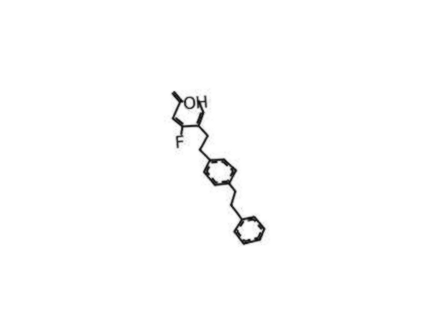 C=C(O)/C=C(F)\C(=C/C)CCc1ccc(CCc2ccccc2)cc1